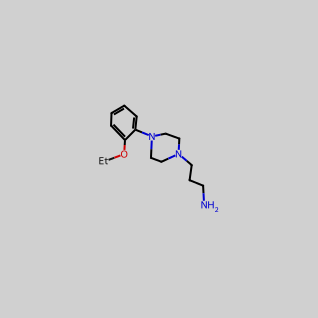 CCOc1ccccc1N1CCN(CCCN)CC1